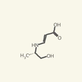 C[C@@H](CO)NC=CC(=O)O